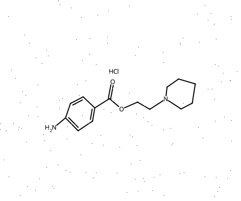 Cl.Nc1ccc(C(=O)OCCN2CCCCC2)cc1